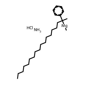 CCCCCCCCCCCCCCCC[C](C)([Mg][CH3])c1ccccc1.Cl.N